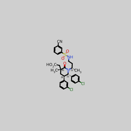 C[C@@H](CCNS(=O)(=O)c1cccc(C#N)c1)N1C(=O)[C@@](C)(CC(=O)O)C[C@H](c2cccc(Cl)c2)[C@H]1c1ccc(Cl)cc1